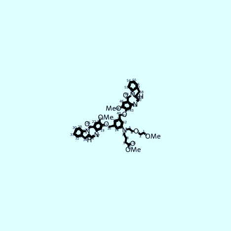 COCCOCCN(CCCC(=O)OC)c1cc(COc2cc3c(cc2OC)C(=O)N2c4ccccc4C[C@H]2C=N3)cc(COc2cc3c(cc2OC)C(=O)N2c4ccccc4C[C@H]2C=N3)c1